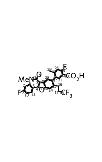 CNC(=O)c1c(-c2ccc(F)cc2)oc2cc(CCC(F)(F)F)c(-c3cc(C(=O)O)c(F)cc3C)cc12